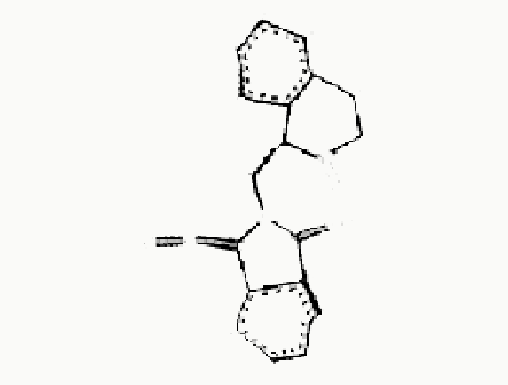 O=C=C1c2ccccc2C(=O)N1CC1NCCc2ccccc21